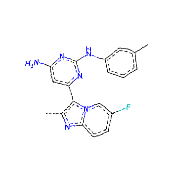 Cc1cccc(Nc2nc(N)cc(-c3c(C)nc4ccc(F)cn34)n2)c1